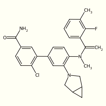 C=C(c1cccc(C)c1F)N(C)c1ccc(-c2cc(C(N)=O)ccc2Cl)cc1N1CC2CC2C1